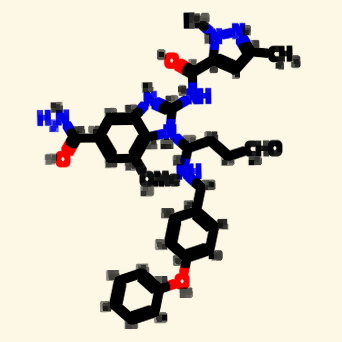 CCn1nc(C)cc1C(=O)Nc1nc2cc(C(N)=O)cc(OC)c2n1C(CCC=O)NCc1ccc(Oc2ccccc2)cc1